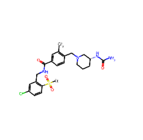 CCS(=O)(=O)c1ccc(Cl)cc1CNC(=O)c1ccc(CN2CCC[C@@H](NC(N)=O)C2)c(C(F)(F)F)c1